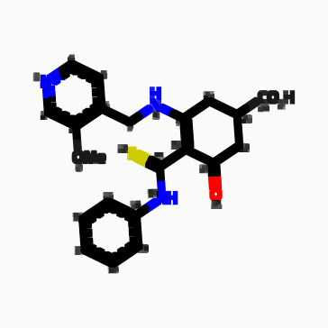 COc1cnccc1CNC1=C(C(=S)Nc2ccccc2)C(=O)CC(C(=O)O)C1